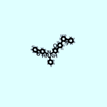 c1ccc(C2NC(c3ccc4c(c3)oc3cc(-c5cccc6c5sc5ccccc56)ccc34)=NC(c3ccc4c(c3)oc3ccccc34)N2)cc1